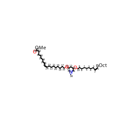 CCCCCCCC/C=C\CCCCCCCCOC(CCOCCCCCCCC/C=C\CCCCCCCC(=O)OC)CN(C)C